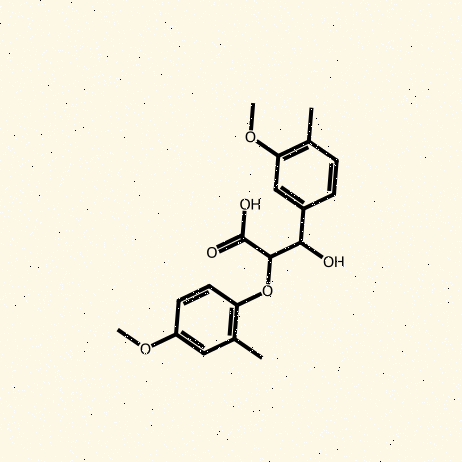 COc1ccc(OC(C(=O)O)C(O)c2ccc(C)c(OC)c2)c(C)c1